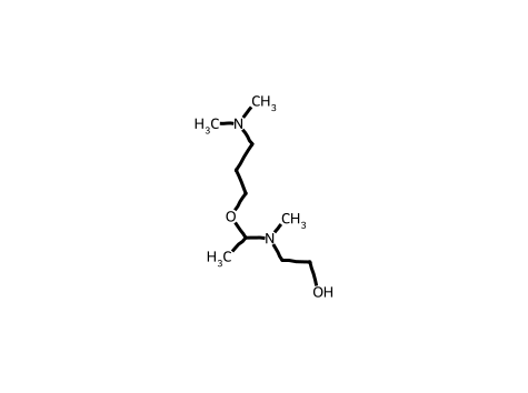 CC(OCCCN(C)C)N(C)CCO